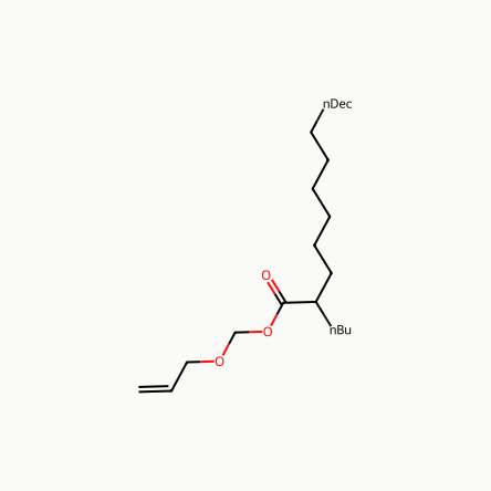 C=CCOCOC(=O)C(CCCC)CCCCCCCCCCCCCCCC